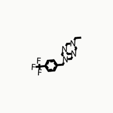 CCN1CN2CN(Cc3ccc(C(F)(F)F)cc3)CN(C1)C2